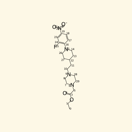 CCOC(=O)CN1CCN(CCC2CCN(c3ccc([N+](=O)[O-])cc3F)CC2)CC1